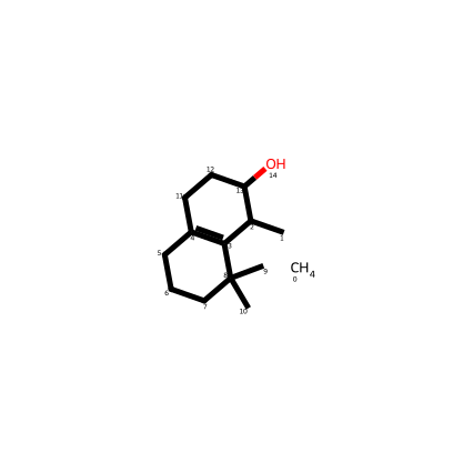 C.CC1C2=C(CCCC2(C)C)CCC1O